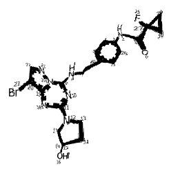 O=C(Nc1ccc(CNc2nc(N3CC[C@@H](O)C3)nc3c(Br)cnn23)cc1)C1(F)CC1